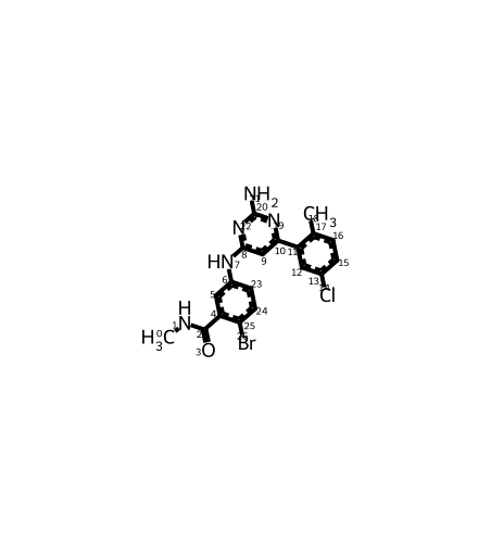 CNC(=O)c1cc(Nc2cc(-c3cc(Cl)ccc3C)nc(N)n2)ccc1Br